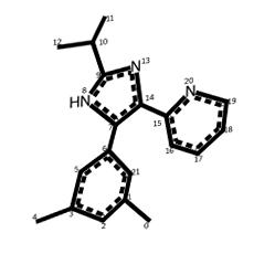 Cc1cc(C)cc(-c2[nH]c(C(C)C)nc2-c2ccccn2)c1